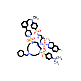 C[C@@H](CNS(=O)(=O)c1ccc(N(C)Cc2cccc(C3CCN(S(=O)(=O)N4C/C=C/CN(S(=O)(=O)c5ccc(N(C)C)cc5)CCCN(CC5CCCCC5)CCC4)CC3)c2)cc1)CNS(=O)(=O)N1CCc2cc(Cl)ccc2C1